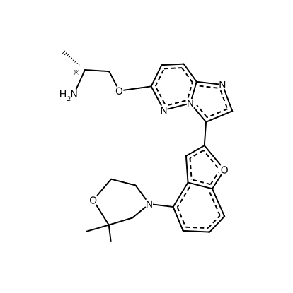 C[C@@H](N)COc1ccc2ncc(-c3cc4c(N5CCOC(C)(C)C5)cccc4o3)n2n1